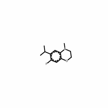 CC(C)c1cc2c(cc1F)OCCN2C